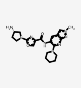 Cn1cc2cc(NC(=O)c3coc(N4CC[C@H](N)C4)n3)c(N3CCCCC3)nc2n1